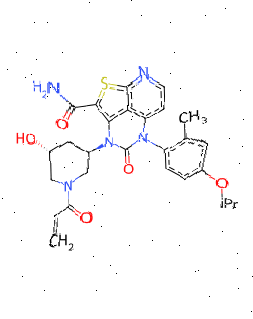 C=CC(=O)N1C[C@H](O)C[C@@H](N2C(=O)N(c3ccc(OC(C)C)cc3C)c3ccnc4sc(C(N)=O)c2c34)C1